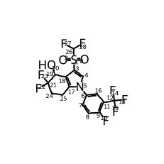 O=S(=O)(c1cn(-c2ccc(F)c(C(F)(F)F)c2)c2c1[C@H](O)C(F)(F)CC2)C(F)F